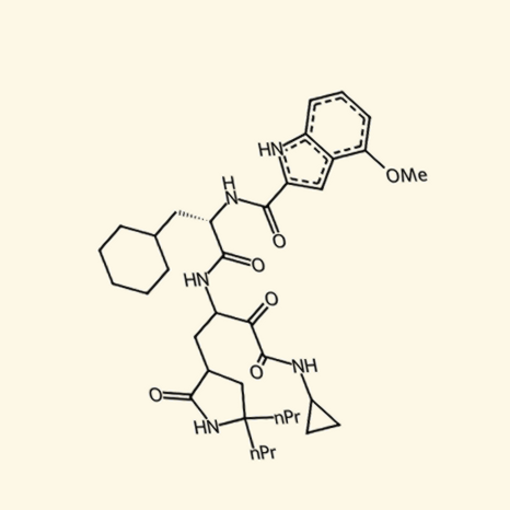 CCCC1(CCC)CC(CC(NC(=O)[C@H](CC2CCCCC2)NC(=O)c2cc3c(OC)cccc3[nH]2)C(=O)C(=O)NC2CC2)C(=O)N1